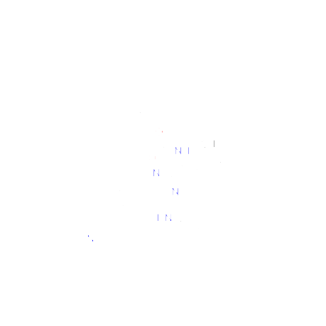 CNc1nc(C(CC(C)C)NC(=O)OCc2ccccc2)nc2ccc(-c3ccncc3)cc12